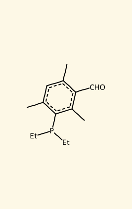 CCP(CC)c1c(C)cc(C)c(C=O)c1C